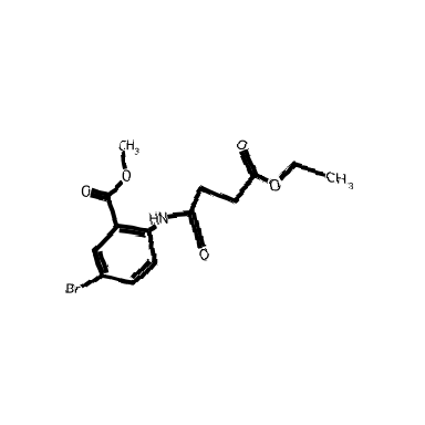 CCOC(=O)CCC(=O)Nc1ccc(Br)cc1C(=O)OC